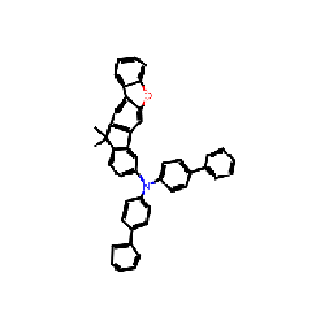 CC1(C)c2ccc(N(c3ccc(-c4ccccc4)cc3)c3ccc(-c4ccccc4)cc3)cc2-c2cc3oc4ccccc4c3cc21